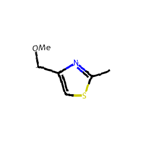 CO[CH]c1csc(C)n1